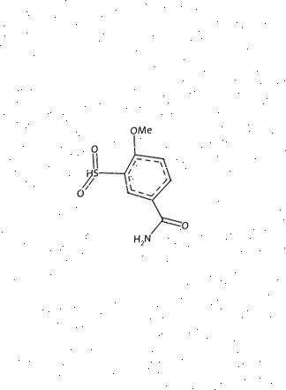 COc1ccc(C(N)=O)cc1[SH](=O)=O